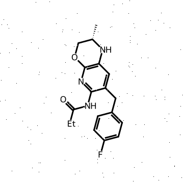 CCC(=O)Nc1nc2c(cc1Cc1ccc(F)cc1)N[C@@H](C)CO2